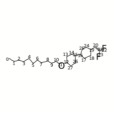 CCCCCCCCCCCOC1CCC(C2CCC(C=C(F)F)CC2)CC1